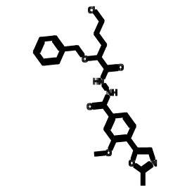 COc1cc(C(=O)NNC(=O)C(CCCCl)OCc2ccccc2)ccc1-c1cnc(C)o1